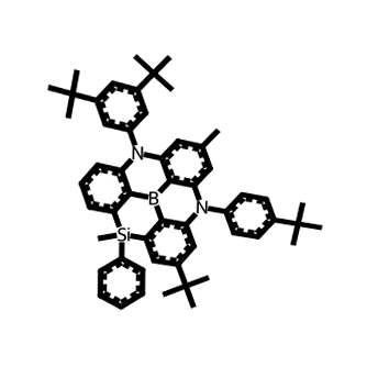 Cc1cc2c3c(c1)N(c1ccc(C(C)(C)C)cc1)c1cc(C(C)(C)C)cc4c1B3c1c(cccc1[Si]4(C)c1ccccc1)N2c1cc(C(C)(C)C)cc(C(C)(C)C)c1